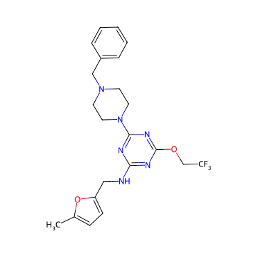 Cc1ccc(CNc2nc(OCC(F)(F)F)nc(N3CCN(Cc4ccccc4)CC3)n2)o1